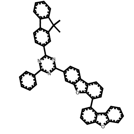 CC1(C)c2ccccc2-c2ccc(-c3nc(-c4ccccc4)nc(-c4ccc5c(c4)oc4c(-c6cccc7oc8ccccc8c67)cccc45)n3)cc21